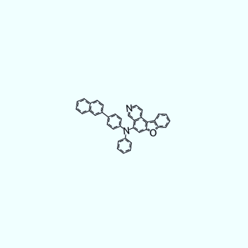 c1ccc(N(c2ccc(-c3ccc4ccccc4c3)cc2)c2cc3oc4ccccc4c3c3ccncc23)cc1